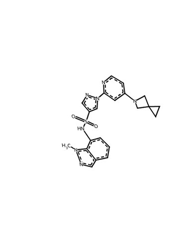 Cn1ncc2cccc(NS(=O)(=O)c3cnn(-c4cc(N5CC6(CC6)C5)ccn4)c3)c21